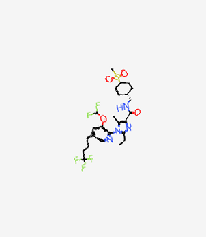 CCc1nc(C(=O)NC[C@H]2CC[C@H](S(C)(=O)=O)CC2)c(C)n1-c1ncc(CCCC(F)(F)F)cc1OC(F)F